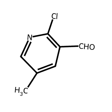 Cc1cnc(Cl)c(C=O)c1